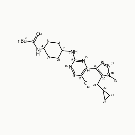 CCCCC(=O)NC1CCC(Nc2ncc(Cl)c(-c3cnn(C)c3CC3CC3)n2)CC1